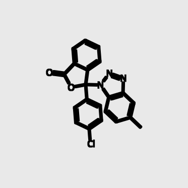 Cc1ccc2c(c1)nnn2C1(c2ccc(Cl)cc2)OC(=O)c2ccccc21